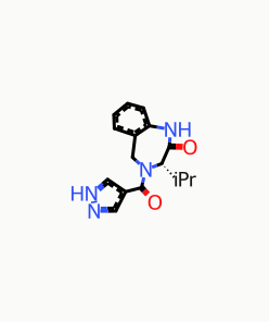 CC(C)[C@H]1C(=O)Nc2ccccc2CN1C(=O)c1cn[nH]c1